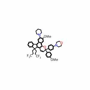 COc1ccc(C2(c3ccc(N4CCOCC4)cc3)C=Cc3c4c(c5cc(N6CCCCC6)c(OC)cc5c3O2)-c2ccccc2C4(CCC(F)(F)F)CCC(F)(F)F)cc1